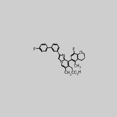 Cc1cn2cc(-c3cccc(-c4ccc(F)cc4)c3)nc2c(-c2cc(F)c3c(c2C)CCCO3)c1CC(=O)O